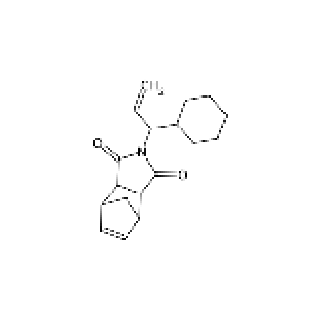 C=CC(C1CCCCC1)N1C(=O)C2C3C=CC(C3)C2C1=O